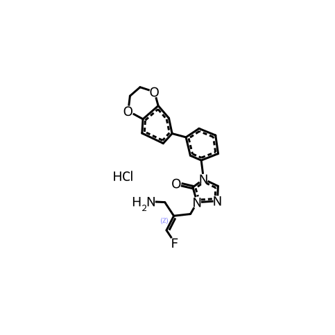 Cl.NC/C(=C/F)Cn1ncn(-c2cccc(-c3ccc4c(c3)OCCO4)c2)c1=O